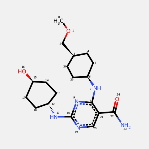 COC[C@H]1CC[C@@H](Nc2nc(N[C@H]3CC[C@H](O)CC3)ncc2C(N)=O)CC1